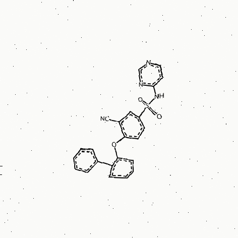 N#Cc1cc(S(=O)(=O)Nc2ccncn2)ccc1Oc1ccccc1-c1ccccc1